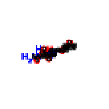 NC(=O)NCCCC(NC(=O)O)C(=O)N1CCN(CCCOc2ccc(C(=O)C3CC3)cc2)CC1